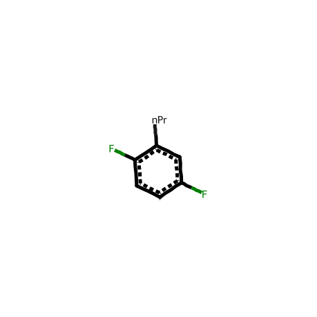 CCCc1cc(F)[c]cc1F